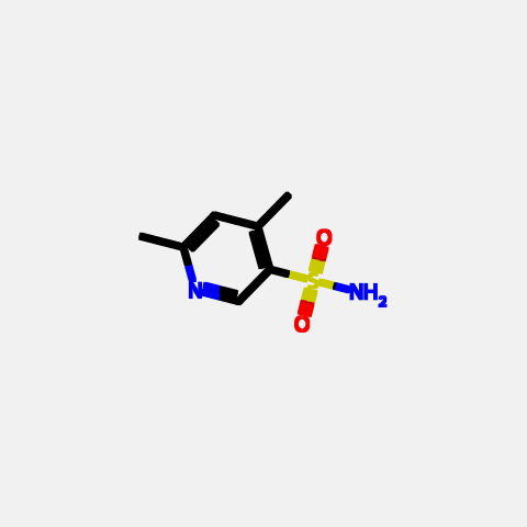 Cc1cc(C)c(S(N)(=O)=O)cn1